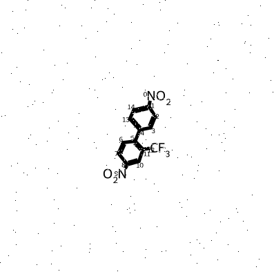 O=[N+]([O-])c1ccc(-c2ccc([N+](=O)[O-])cc2C(F)(F)F)cc1